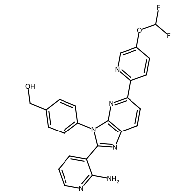 Nc1ncccc1-c1nc2ccc(-c3ccc(OC(F)F)cn3)nc2n1-c1ccc(CO)cc1